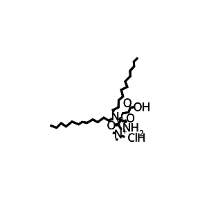 CCCCCCCCCCCCN(CCCCCCCCCCCC)[C@](CCC(=O)O)(C(N)=O)C(=O)C[N+](C)(C)C.Cl